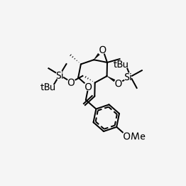 C=C[C@H](CO[Si](C)(C)C(C)(C)C)[C@H](O[Si](C)(C)C(C)(C)C)C1(C)O[C@@H]1[C@@H](C)COCc1ccc(OC)cc1